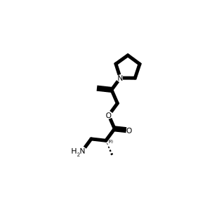 C=C(COC(=O)[C@H](C)CN)N1CCCC1